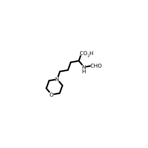 O=CNC(CCCN1CCOCC1)C(=O)O